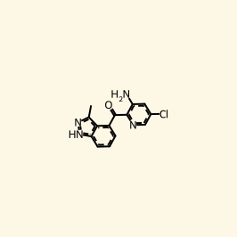 Cc1n[nH]c2cccc(C(=O)c3ncc(Cl)cc3N)c12